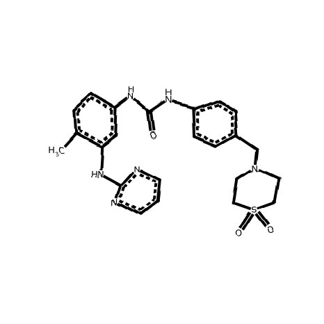 Cc1ccc(NC(=O)Nc2ccc(CN3CCS(=O)(=O)CC3)cc2)cc1Nc1ncccn1